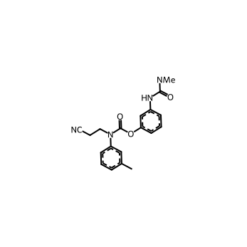 CNC(=O)Nc1cccc(OC(=O)N(CCC#N)c2cccc(C)c2)c1